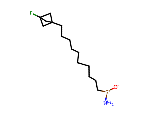 N[S+]([O-])CCCCCCCCCCC12CC(F)(C1)C2